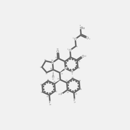 CC(C)(C)C(=O)OCOc1c2n(ncc1=O)[C@@H]([C@H](c1cccc(F)c1)c1cccc(F)c1F)[C@H]1CCCN1C2=O